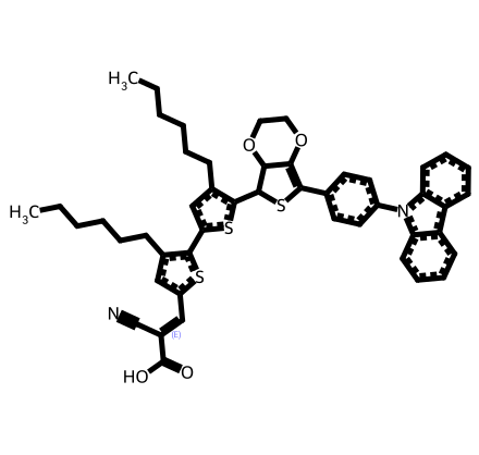 CCCCCCc1cc(/C=C(\C#N)C(=O)O)sc1-c1cc(CCCCCC)c(C2SC(c3ccc(-n4c5ccccc5c5ccccc54)cc3)=C3OCCOC32)s1